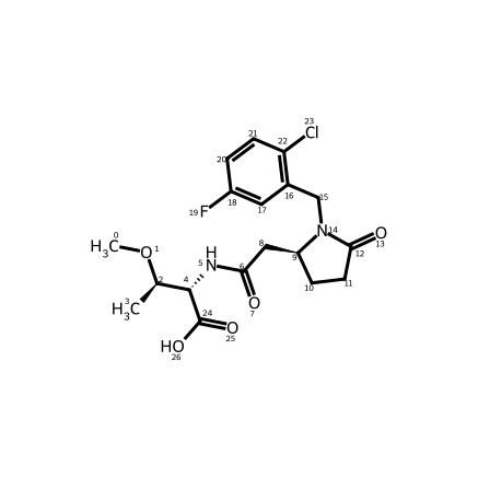 CO[C@H](C)[C@H](NC(=O)C[C@@H]1CCC(=O)N1Cc1cc(F)ccc1Cl)C(=O)O